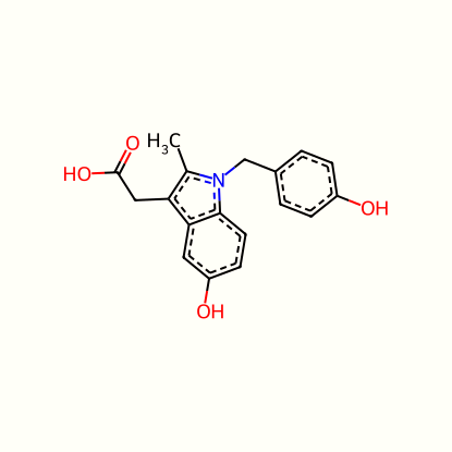 Cc1c(CC(=O)O)c2cc(O)ccc2n1Cc1ccc(O)cc1